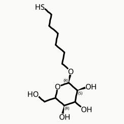 OCC1O[C@@H](OCCCCCCS)[C@@H](O)C(O)[C@H]1O